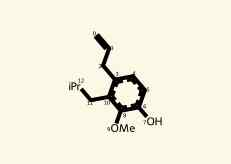 C=CCc1ccc(O)c(OC)c1CC(C)C